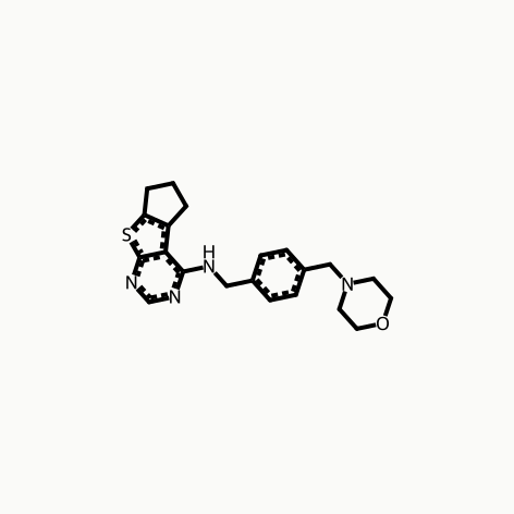 c1nc(NCc2ccc(CN3CCOCC3)cc2)c2c3c(sc2n1)CCC3